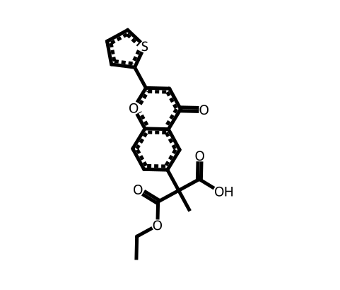 CCOC(=O)C(C)(C(=O)O)c1ccc2oc(-c3cccs3)cc(=O)c2c1